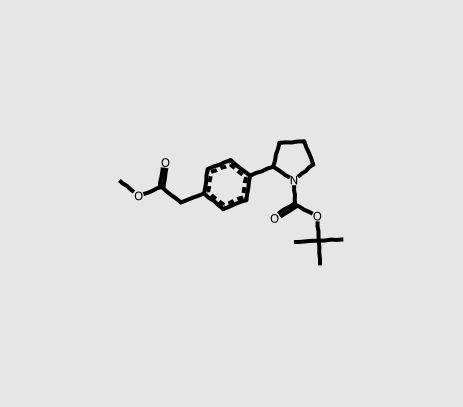 COC(=O)Cc1ccc(C2CCCN2C(=O)OC(C)(C)C)cc1